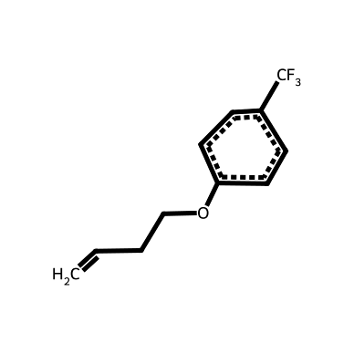 C=CCCOc1ccc(C(F)(F)F)cc1